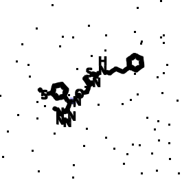 CSc1cccc(/C(=N\OCc2csc(NCCCc3ccccc3)n2)c2nnnn2C)c1